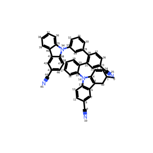 CC1C=Cc2c(c3cc(C#N)ccc3n2-c2ccccc2-c2cc(C#N)ccc2-c2cccc(-n3c4ccccc4c4cc(C#N)ccc43)c2)C1